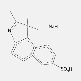 CC1=Nc2ccc3cc(S(=O)(=O)O)ccc3c2C1(C)C.[NaH]